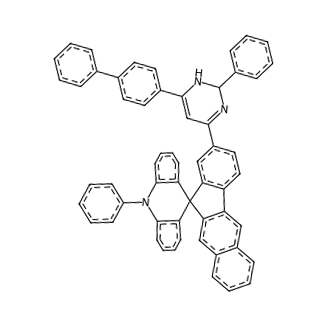 C1=C(c2ccc(-c3ccccc3)cc2)NC(c2ccccc2)N=C1c1ccc2c(c1)C1(c3cc4ccccc4cc3-2)c2ccccc2N(c2ccccc2)c2ccccc21